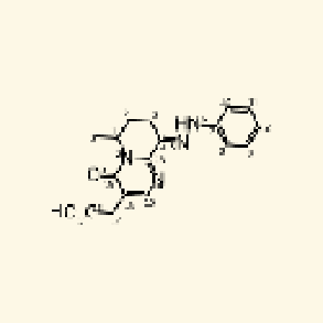 CC1CCC(=NNc2ccccc2)c2ncc(CC(=O)O)c(=O)n21